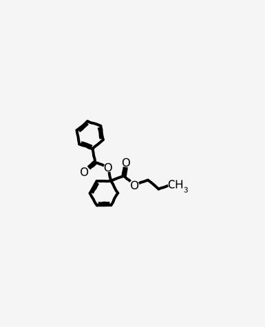 CCCOC(=O)C1(OC(=O)c2ccccc2)C=CC=CC1